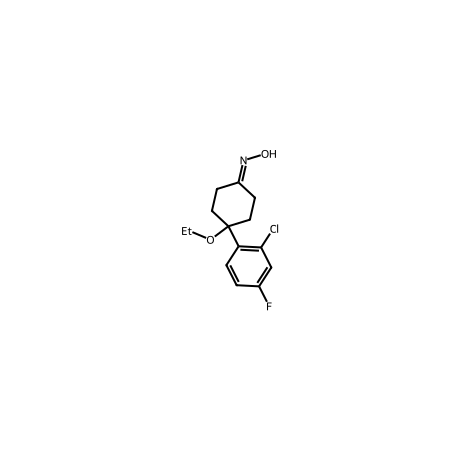 CCOC1(c2ccc(F)cc2Cl)CCC(=NO)CC1